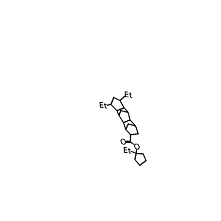 CCC1CC(CC)C2C3CC(C12)C1C2CC(C(=O)OC4(CC)CCCC4)C(C2)C31